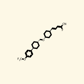 N#CC(F)=CC=C[C@H]1CC[C@H](OC[C@H]2CC[C@H](c3ccc(OC(F)(F)F)cc3)CC2)CC1